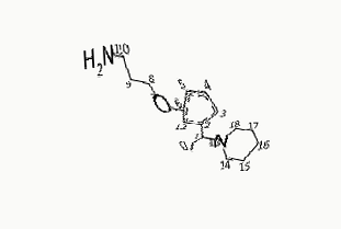 CC(c1cccc(OCCCN)c1)N1CCCCC1